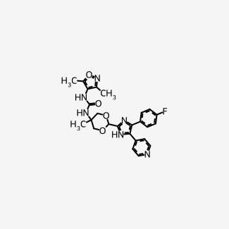 Cc1noc(C)c1NC(=O)NC1(C)COC(c2nc(-c3ccc(F)cc3)c(-c3ccncc3)[nH]2)OC1